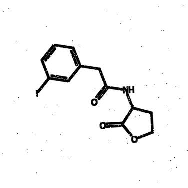 O=C(Cc1cccc(I)c1)NC1CCOC1=O